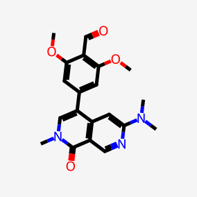 COc1cc(-c2cn(C)c(=O)c3cnc(N(C)C)cc23)cc(OC)c1C=O